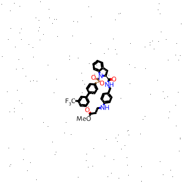 COC(=O)CCNc1ccc(CNC(=O)[C@@H]2Cc3ccccc3N2S(=O)(=O)c2ccc(-c3cccc(C(F)(F)F)c3)cc2)cc1